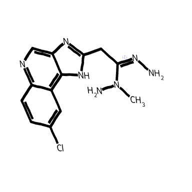 CN(N)/C(Cc1nc2cnc3ccc(Cl)cc3c2[nH]1)=N\N